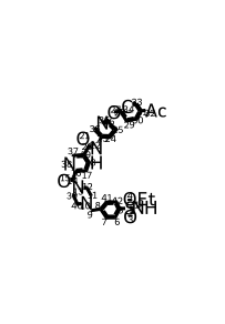 CCNS(=O)(=O)c1ccc(CN2CCN(C(=O)c3ccc(C(=O)Nc4ccc(Oc5ccc(C(C)=O)cc5)nc4)cn3)CC2)cc1